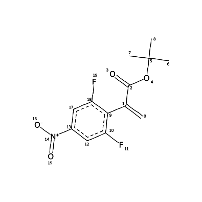 C=C(C(=O)OC(C)(C)C)c1c(F)cc([N+](=O)[O-])cc1F